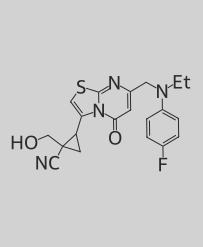 CCN(Cc1cc(=O)n2c(C3CC3(C#N)CO)csc2n1)c1ccc(F)cc1